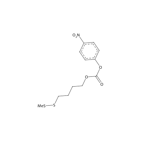 CSSCCCCOC(=O)Oc1ccc([N+](=O)[O-])cc1